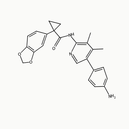 Cc1c(-c2ccc(N)cc2)cnc(NC(=O)C2(c3ccc4c(c3)OCO4)CC2)c1C